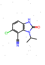 CC(C)n1c(=O)[nH]c2ccc(Cl)c(C#N)c21